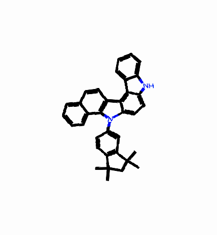 CC1(C)CC(C)(C)c2cc(-n3c4ccc5[nH]c6ccccc6c5c4c4ccc5ccccc5c43)ccc21